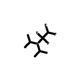 CC(C)N(C(C)C)C(F)(F)C(F)F